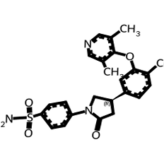 Cc1cncc(C)c1Oc1cc([C@H]2CC(=O)N(c3ccc(S(N)(=O)=O)cc3)C2)ccc1Cl